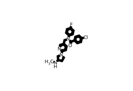 CNC1CCN(c2ccc(CN(C(=O)c3ccc(Cl)cc3)c3ccc(F)cc3)cn2)C1